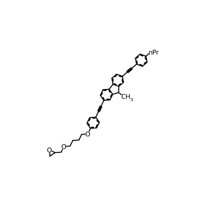 CCCc1ccc(C#Cc2ccc3c(c2)C(C)c2cc(C#Cc4ccc(OCCCCOCC5CO5)cc4)ccc2-3)cc1